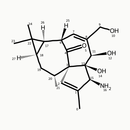 CC1=C[C@]23C(=O)[C@@H](C=C(CO)[C@@H](O)[C@]2(O)[C@H]1N)[C@H]1[C@@H](C[C@H]3C)C1(C)C